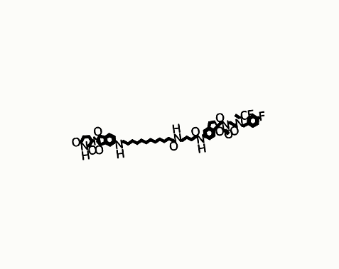 C[C@H](N(Cc1ccc(F)cc1)C(=O)CN1C(=O)O[C@@]2(CCc3cc(NC(=O)CCCNC(=O)CCCCCCCCCCCNc4ccc5c(c4)C(=O)N(C4CCC(=O)NC4=O)C5=O)ccc32)C1=O)C(F)(F)F